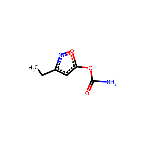 CCc1cc(OC(N)=O)on1